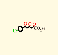 CCOC(=O)C(=O)CC(=O)CC(=O)c1ccc(Cl)cc1